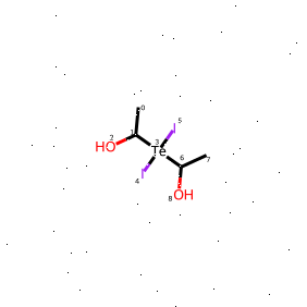 CC(O)[Te](I)(I)C(C)O